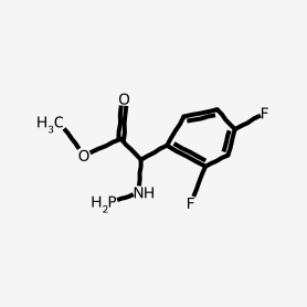 COC(=O)C(NP)c1ccc(F)cc1F